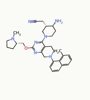 Cc1cccc2cccc(N3CCc4c(nc(OC[C@@H]5CCCN5C)nc4N4CC[C@H](N)[C@@H](CC#N)C4)C3)c12